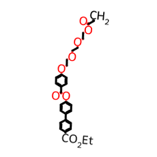 C=CC(=O)OCCOCCOCCOc1ccc(C(=O)Oc2ccc(-c3ccc(C(=O)OCC)cc3)cc2)cc1